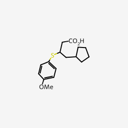 COc1ccc(SC(CC(=O)O)CC2CCCC2)cc1